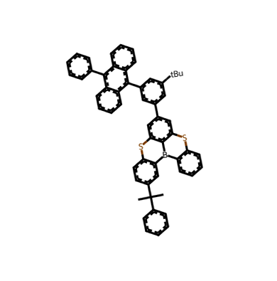 CC(C)(C)c1cc(-c2cc3c4c(c2)Sc2ccc(C(C)(C)c5ccccc5)cc2B4c2ccccc2S3)cc(-c2c3ccccc3c(-c3ccccc3)c3ccccc23)c1